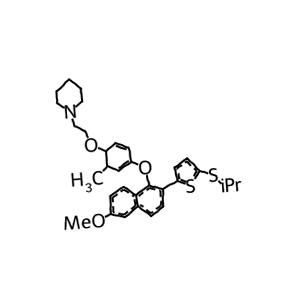 COc1ccc2c(OC3=CC(C)C(OCCN4CCCCC4)C=C3)c(-c3ccc(SC(C)C)s3)ccc2c1